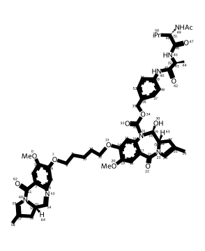 COc1cc2c(cc1OCCCCCOc1cc3c(cc1OC)C(=O)N1C=C(C)C[C@H]1[C@H](O)N3C(=O)OCc1ccc(NC(=O)[C@H](C)NC(=O)[C@@H](NC(C)=O)C(C)C)cc1)N=C[C@@H]1CC(C)=CN1C2=O